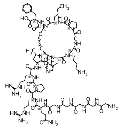 CCCC[C@H]1NC(=O)[C@@H]2CCCN2C(=O)CNC(=O)[C@H](CCCCN)NC(=O)[C@H](Cc2cnc[nH]2)NC(=O)[C@H](N2C(=O)[C@H](NC(=O)[C@@H](CCCNC(=N)N)NC(=O)[C@H]3CCCN3C(=O)[C@@H](CCCNC(=N)N)NC(=O)[C@@H](CCC(N)=O)NC(=O)CNC(=O)CNC(=O)CNC(=O)CNC(=O)CN)CC2C)CSSC[C@H](C(=O)N[C@H](Cc2ccccc2)C(=O)O)NC1=O